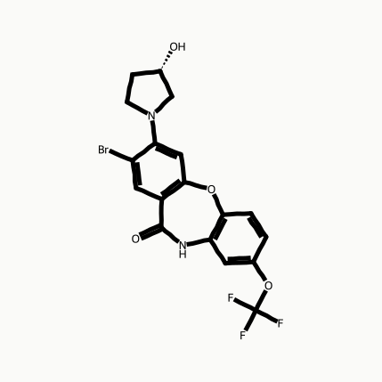 O=C1Nc2cc(OC(F)(F)F)ccc2Oc2cc(N3CC[C@H](O)C3)c(Br)cc21